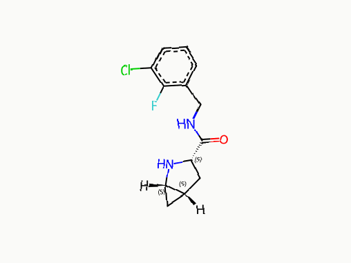 O=C(NCc1cccc(Cl)c1F)[C@@H]1C[C@@H]2C[C@@H]2N1